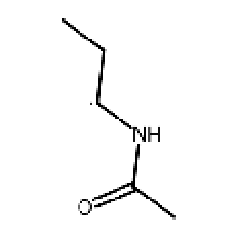 CC[CH]NC(C)=O